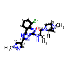 C[C@@H](Nc1nc2c(Br)cccc2c2nc(-c3cnn(C)c3)nn12)C(=O)N1C[C@@H]2C[C@H]1CN2C